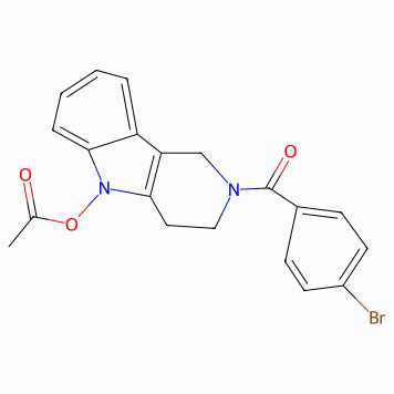 CC(=O)On1c2c(c3ccccc31)CN(C(=O)c1ccc(Br)cc1)CC2